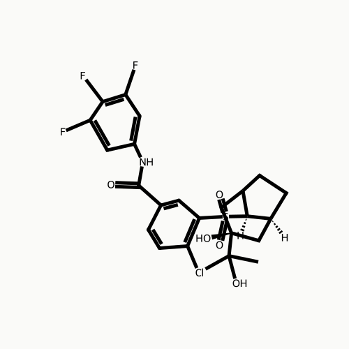 CC(C)(O)[C@]1(O)CC2CC[C@@H](C1)[C@H]2S(=O)(=O)c1cc(C(=O)Nc2cc(F)c(F)c(F)c2)ccc1Cl